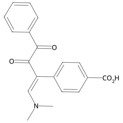 CN(C)C=C(C(=O)C(=O)c1ccccc1)c1ccc(C(=O)O)cc1